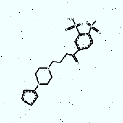 CS(=O)(=O)c1ccc(C(=O)CCCN2CCN(c3ccccc3)CC2)cc1S(N)(=O)=O